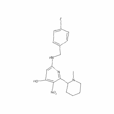 CN1CCCCC1c1nc(NCc2ccc(F)cc2)cc(O)c1[N+](=O)[O-]